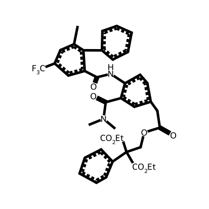 CCOC(=O)C(COC(=O)Cc1ccc(NC(=O)c2cc(C(F)(F)F)cc(C)c2-c2ccccc2)c(C(=O)N(C)C)c1)(C(=O)OCC)c1ccccc1